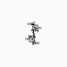 O=P(O)(O)CN(CCCCCCN(CP(=O)(O)O)CP(=O)(O)O)CP(=O)(O)O